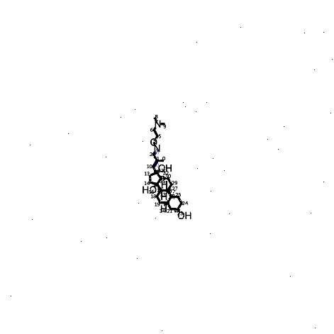 CC(/C=N/OCCN(C)C)=C\[C@@]1(O)CC[C@]2(O)[C@@H]3CC[C@@H]4C[C@@H](O)CC[C@]4(C)[C@H]3CC[C@]12C